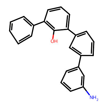 Nc1cccc(-c2cccc(-c3cccc(-c4ccccc4)c3O)c2)c1